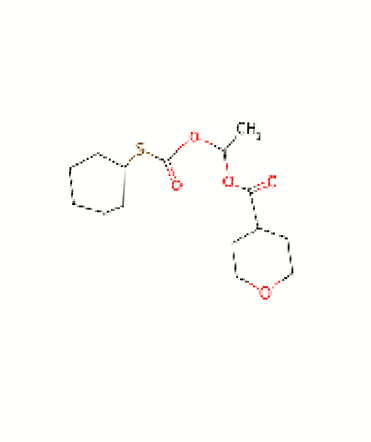 CC(OC(=O)SC1CCCCC1)OC(=O)C1CCOCC1